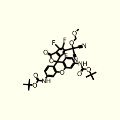 COCOC(C#N)(C#N)c1c(F)c(F)c2c(c1F)C1(OC2=O)c2ccc(NC(=O)OC(C)(C)C)cc2Oc2cc(NC(=O)OC(C)(C)C)ccc21